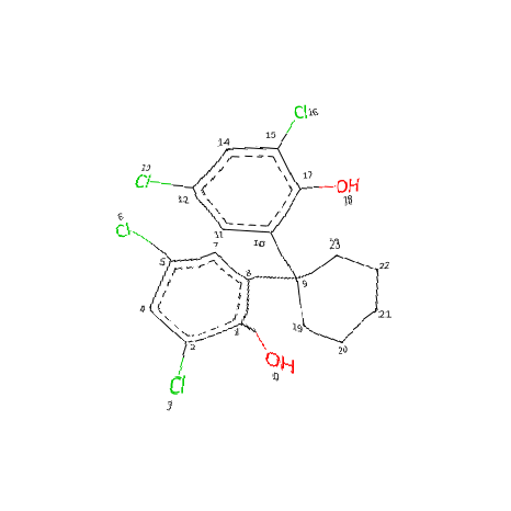 Oc1c(Cl)cc(Cl)cc1C1(c2cc(Cl)cc(Cl)c2O)CCCCC1